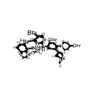 COc1cc(N2CCC(O)CC2)c(-c2cnn(C)c2)cc1Nc1ncc(Br)c(Nc2ccc3nccnc3c2NS(C)(=O)=O)n1